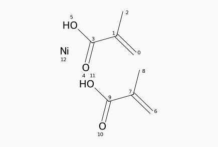 C=C(C)C(=O)O.C=C(C)C(=O)O.[Ni]